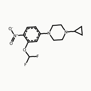 O=[N+]([O-])c1ccc(N2CCN(C3CC3)CC2)cc1OC(F)F